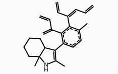 C=C/C=C(/C=C)c1c(C)ccc(C2=C(C)NC3(C)CCCCC23)c1C(=C)C=C